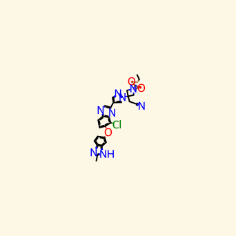 CCS(=O)(=O)N1CC(CC#N)(n2cc(-c3cnc4ccc(Oc5ccc6nc(C)[nH]c6c5)c(Cl)c4n3)cn2)C1